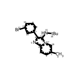 Cc1ccc2nc(-c3cccc(Br)c3)c(NC(C)(C)C)n2c1